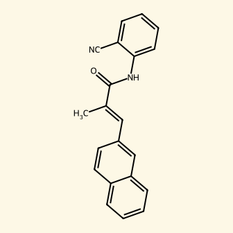 C/C(=C\c1ccc2ccccc2c1)C(=O)Nc1ccccc1C#N